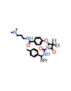 CCCC(NC(=O)N1C(=O)C(CC)(CC)C1Oc1ccc(C(=O)NCCCN(C)C)cc1)c1ccc(C)cc1